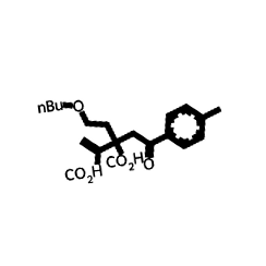 C=C(C(=O)O)C(CCOCCCC)(CC(=O)c1ccc(C)cc1)C(=O)O